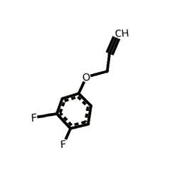 C#CCOc1ccc(F)c(F)c1